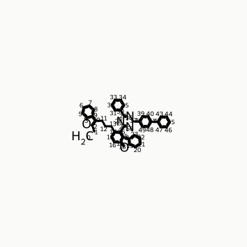 C=Cc1oc2ccccc2c1CCCc1ccc2oc3ccccc3c2c1-c1nc(-c2ccccc2)nc(-c2ccc(-c3ccccc3)cc2)n1